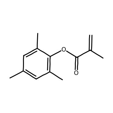 C=C(C)C(=O)Oc1c(C)cc(C)cc1C